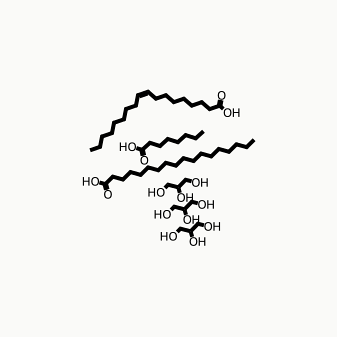 CCCCCCCC(=O)O.CCCCCCCC/C=C\CCCCCCCC(=O)O.CCCCCCCCCCCCCCCCCC(=O)O.OCC(O)CO.OCC(O)CO.OCC(O)CO